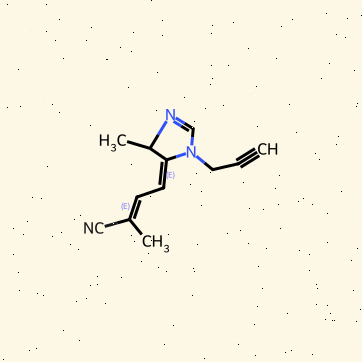 C#CCN1C=NC(C)/C1=C\C=C(/C)C#N